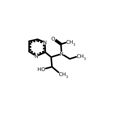 CCN(C(C)=O)C(c1ncccn1)C(C)O